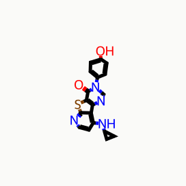 O=c1c2sc3nccc(NC4CC4)c3c2ncn1-c1ccc(O)cc1